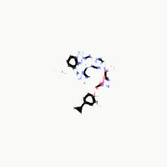 CCn1cncc1Cn1c(CN2CCN(C(=O)c3cnc(COc4ccc(C5CC5)cc4Cl)o3)CC2)nc2ccc(C(=O)O)cc21